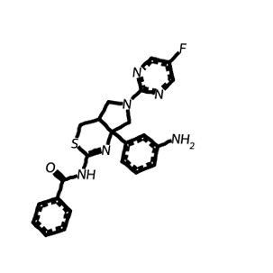 Nc1cccc(C23CN(c4ncc(F)cn4)CC2CSC(NC(=O)c2ccccc2)=N3)c1